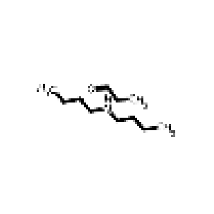 CCC=O.CCC[CH2][AlH][CH2]CCC